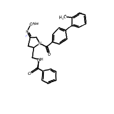 CO/N=C1/CC(CNC(=O)c2ccccc2)N(C(=O)c2ccc(-c3ccccc3C)cc2)C1